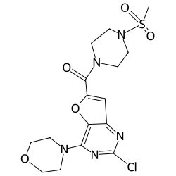 CS(=O)(=O)N1CCN(C(=O)c2cc3nc(Cl)nc(N4CCOCC4)c3o2)CC1